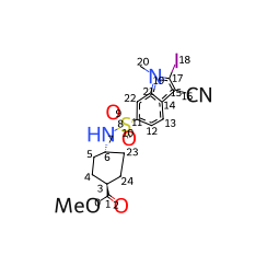 COC(=O)[C@H]1CC[C@H](NS(=O)(=O)c2ccc3c(C#N)c(I)n(C)c3c2)CC1